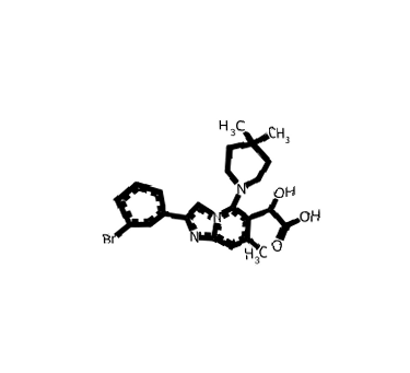 Cc1cc2nc(-c3cccc(Br)c3)cn2c(N2CCC(C)(C)CC2)c1C(O)C(=O)O